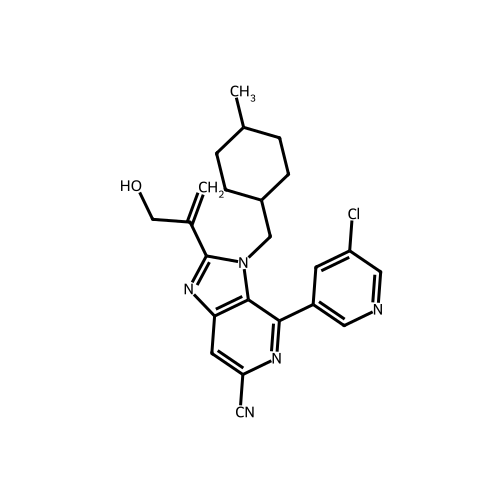 C=C(CO)c1nc2cc(C#N)nc(-c3cncc(Cl)c3)c2n1CC1CCC(C)CC1